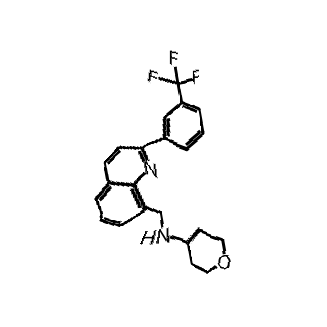 FC(F)(F)c1cccc(-c2ccc3cccc(CNC4CCOCC4)c3n2)c1